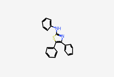 c1ccc(Nc2nc(-c3ccccc3)c(-c3ccccc3)s2)cc1